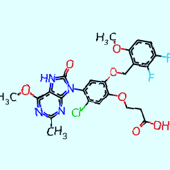 COc1ccc(F)c(F)c1COc1cc(-n2c(=O)[nH]c3c(OC)nc(C)nc32)c(Cl)cc1OCCC(=O)O